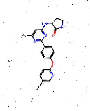 CC(=O)c1cc(N[C@H]2CCNC2=O)nc(-c2ccc(Oc3ccc(C)cn3)cc2)n1